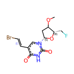 COC1C[C@@H](n2cc(/C=C/Br)c(=O)[nH]c2=O)O[C@H]1CF